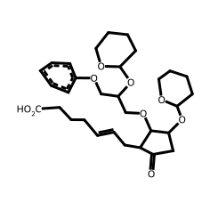 O=C(O)CCC/C=C/CC1C(=O)CC(OC2CCCCO2)C1OCC(COc1ccccc1)OC1CCCCO1